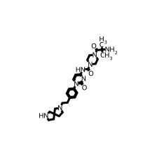 CC(C)(N)C(=O)N1CCN(C(=O)Nc2ccn(-c3ccc(CCN4CCC5(CCNC5)C4)cc3)c(=O)n2)CC1